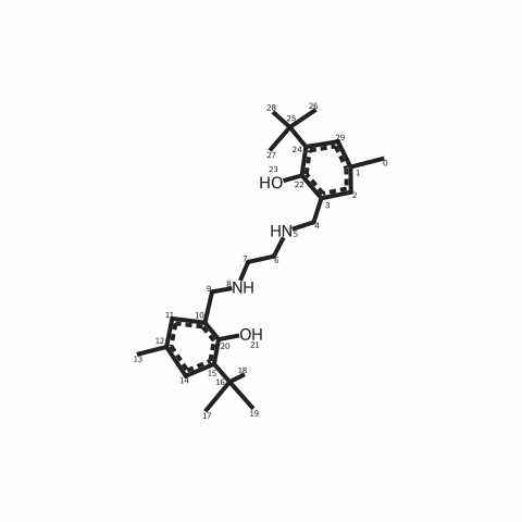 Cc1cc(CNCCNCc2cc(C)cc(C(C)(C)C)c2O)c(O)c(C(C)(C)C)c1